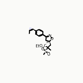 C/C=C\c1ccc(C2=NO[C@@H](CC(C)(C(=O)OCC)S(C)(=O)=O)C2)cc1